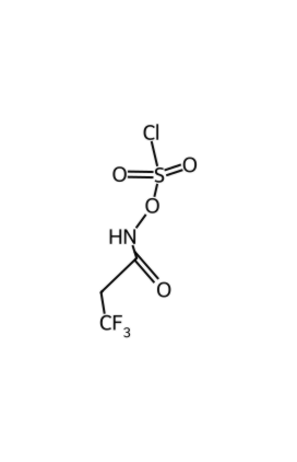 O=C(CC(F)(F)F)NOS(=O)(=O)Cl